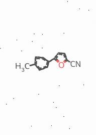 Cc1ccc(-c2ccc(C#N)o2)cc1